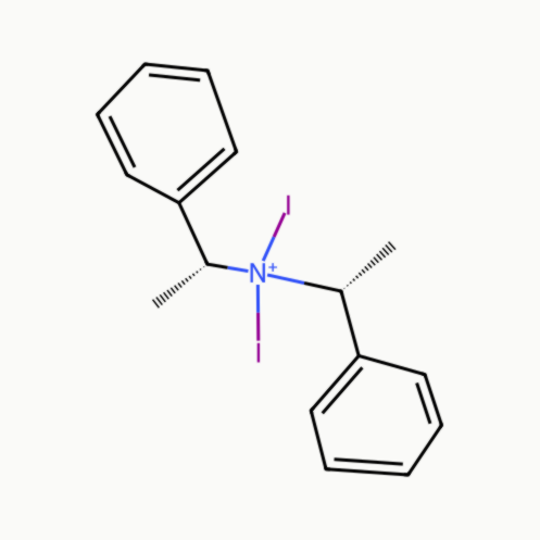 C[C@H](c1ccccc1)[N+](I)(I)[C@H](C)c1ccccc1